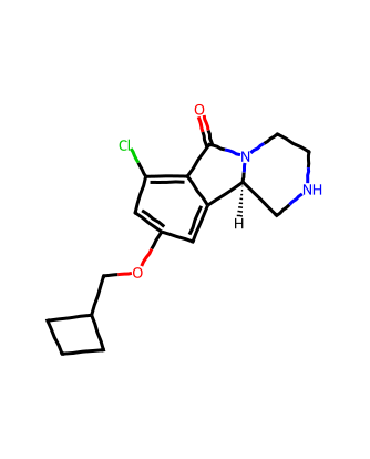 O=C1c2c(Cl)cc(OCC3CCC3)cc2[C@@H]2CNCCN12